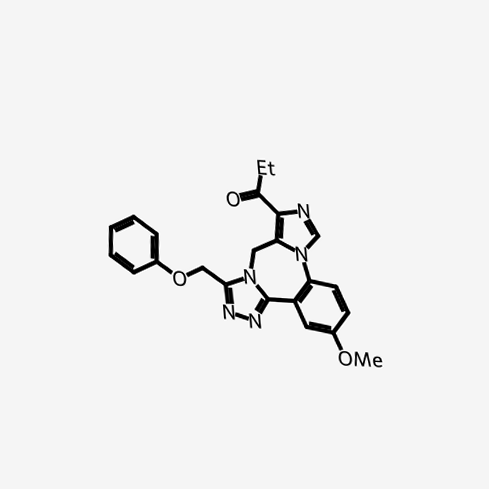 CCC(=O)c1ncn2c1Cn1c(COc3ccccc3)nnc1-c1cc(OC)ccc1-2